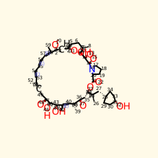 CO[C@H]1C[C@@H]2CC[C@@H](C)[C@@](O)(O2)C(=O)C(=O)N2CCCC2C(=O)O[C@H]([C@H](C)C[C@H]2CC[C@H](O)CC2)CC(=O)[C@H](C)/C=C(\C)[C@@H](O)[C@@H](O)C(=O)CC[C@H](C)/C=C/C=C/C=C/1C